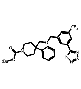 CC(C)(C)OC(=O)N1CCC(COCc2cc(-c3nnn[nH]3)cc(C(F)(F)F)c2)(c2ccccc2)CC1